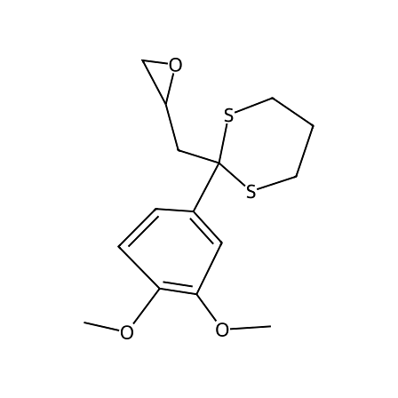 COc1ccc(C2(CC3CO3)SCCCS2)cc1OC